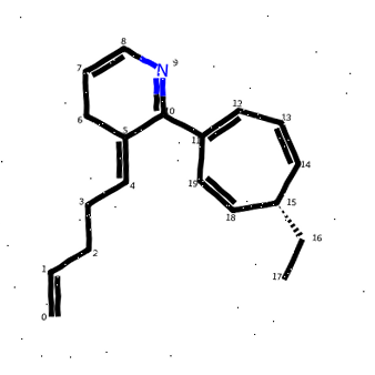 C=CCC/C=C1\CC=CN=C1C1=CC=C[C@H](CC)C=C1